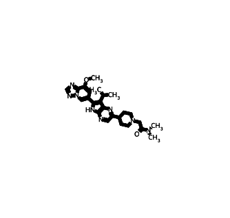 COc1cc(-c2[nH]c3ncc(C4CCN(CC(=O)N(C)C)CC4)nc3c2C(C)C)cn2ncnc12